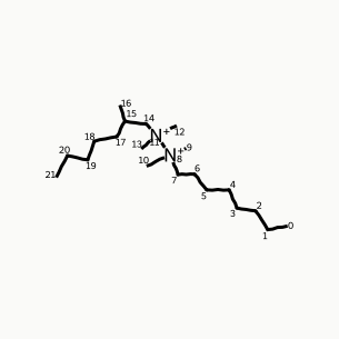 CCCCCCCC[N+](C)(C)[N+](C)(C)CC(C)CCCCC